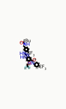 CC(C)(C)C(=O)NCc1ccc(C(F)(F)F)c(Nc2nc3cc(C(=O)NC4CCC(C(F)(F)F)CC4)c(OCC(F)F)cc3[nH]2)c1